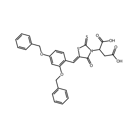 O=C(O)CC(C(=O)O)N1C(=O)/C(=C/c2ccc(OCc3ccccc3)cc2OCc2ccccc2)SC1=S